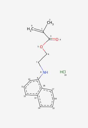 C=C(C)C(=O)OCCNc1cccc2ccccc12.Cl